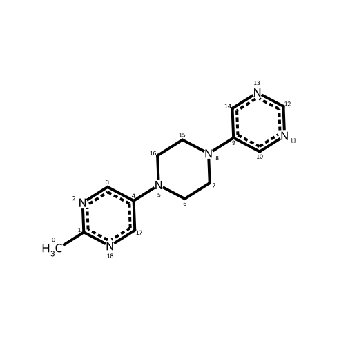 Cc1ncc(N2CCN(c3cncnc3)CC2)cn1